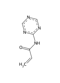 C=CC(=O)Nc1ncncn1